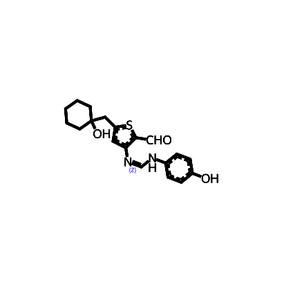 O=Cc1sc(CC2(O)CCCCC2)cc1/N=C\Nc1ccc(O)cc1